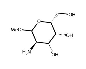 COC1O[C@H](CO)[C@H](O)[C@H](O)[C@H]1N